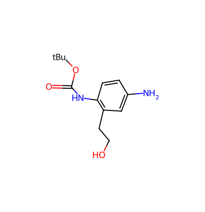 CC(C)(C)OC(=O)Nc1ccc(N)cc1CCO